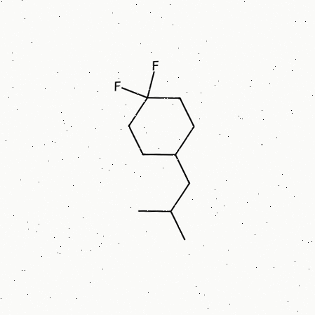 CC(C)CC1CCC(F)(F)CC1